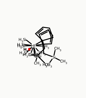 C[Si](C)(C)C[C]1([Hf]([CH3])([CH3])([CH3])([CH3])([CH3])([CH3])([CH3])([CH3])([SiH3])([SiH3])([SiH3])([SiH3])[C]2(C[Si](C)(C)C)C=CC=C2)C=CC=C1